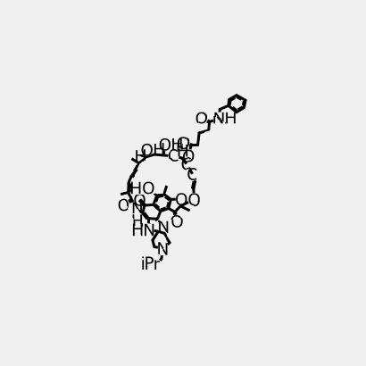 C/C1=C/C=C/C(C)[C@H](O)CC(O)C[C@H](OC(=O)CCCC(=O)NCc2ccccc2)CC/C=C/OC2(C)Oc3c(C)c(O)c4c(c3C2=O)C2=NC3(CCN(CC(C)C)CC3)NC2=C(NC1=O)C4=O